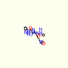 Nc1ccccc1NC(=O)c1ccc(C(CCCCCN2CCOCC2)NC(=O)NC2CCCC2)cn1